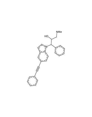 CNCC(O)C(c1ccccc1)n1ccc2cc(C#Cc3ccccc3)ccc21